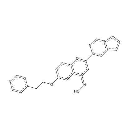 O/N=c1/cc(-c2cc3cccn3cn2)oc2ccc(OCCc3ccncc3)cc12